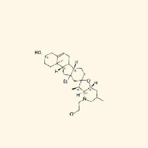 CCC12C[C@H]3C(CC=C4C[C@@H](O)CCC43C)[C@@H]1CCC1(C2)O[C@@H]2CC(C)CN(CCCl)[C@H]2[C@H]1C